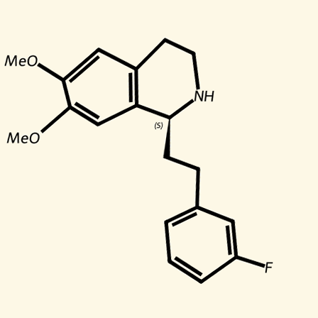 COc1cc2c(cc1OC)[C@H](CCc1cccc(F)c1)NCC2